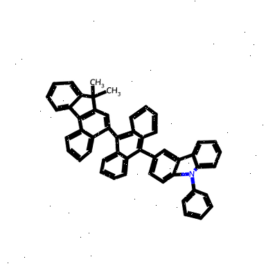 CC1(C)c2ccccc2-c2c1cc(-c1c3ccccc3c(-c3ccc4c(c3)c3ccccc3n4-c3ccccc3)c3ccccc13)c1ccccc21